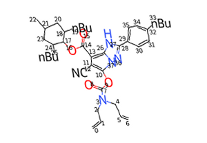 C=CCN(CC=C)C(=O)Oc1c(C#N)c(C(=O)OC2C(CCCC)CC(C)CC2CCCC)c2[nH]c(-c3ccc(CCCC)cc3)nn12